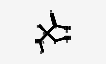 CN[C@@](C)(CO)C(=O)O